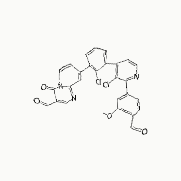 COc1cc(-c2nccc(-c3cccc(-c4ccn5c(=O)c(C=O)cnc5c4)c3Cl)c2Cl)ccc1C=O